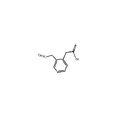 C=C(O)Cc1ccccc1CC=O